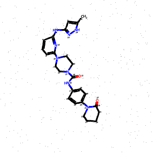 Cc1cc(Nc2cccc(N3CCN(C(=O)Nc4ccc(N5CCCCC5=O)cc4)CC3)n2)n[nH]1